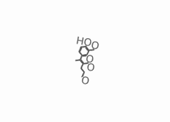 Cc1c(CCC=O)c(=O)oc2c(C=O)c(O)ccc12